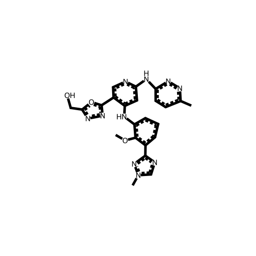 COc1c(Nc2cc(Nc3ccc(C)nn3)ncc2-c2nnc(CO)o2)cccc1-c1ncn(C)n1